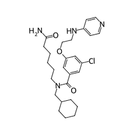 NC(=O)CCCCCN(CC1CCCCC1)C(=O)c1cc(Cl)cc(OCCNc2ccncc2)c1